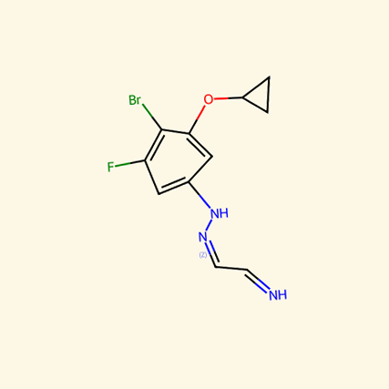 N=C/C=N\Nc1cc(F)c(Br)c(OC2CC2)c1